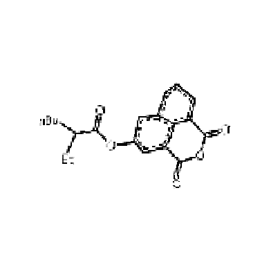 CCCCC(CC)C(=O)Oc1cc2c3c(cccc3c1)C(=O)OC2=O